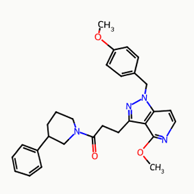 COc1ccc(Cn2nc(CCC(=O)N3CCCC(c4ccccc4)C3)c3c(OC)nccc32)cc1